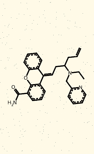 C=CCC(C/C=C1\c2ccccc2Oc2c(C(N)=O)cccc21)N(CC)Cc1ccccn1